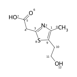 Cc1nc(CC(=O)O)sc1CCO